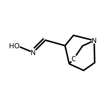 ON=CC1CN2CCC1CC2